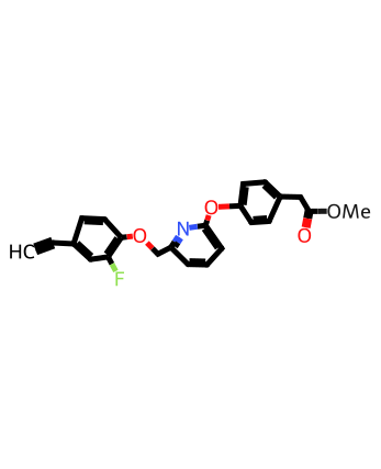 C#Cc1ccc(OCc2cccc(Oc3ccc(CC(=O)OC)cc3)n2)c(F)c1